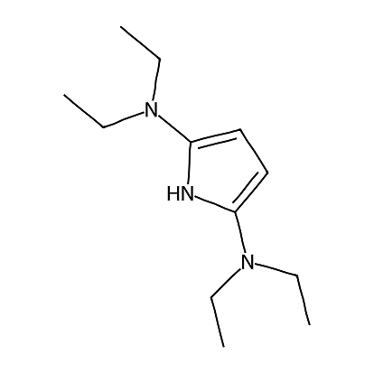 CCN(CC)c1ccc(N(CC)CC)[nH]1